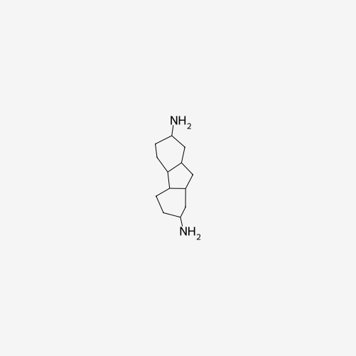 NC1CCC2C(C1)CC1CC(N)CCC12